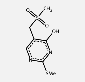 CSc1ncc(CS(C)(=O)=O)c(O)n1